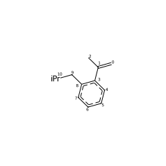 C=C(C)c1ccccc1CC(C)C